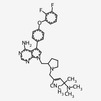 CN(C)C(C)(C)C=C(C#N)CN1CCCC1Cn1cc(-c2ccc(Oc3cccc(F)c3F)cc2)c2c(N)ncnc21